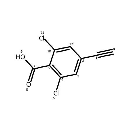 C#Cc1cc(Cl)c(C(=O)O)c(Cl)c1